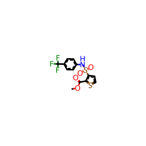 COC(=O)c1sccc1S(=O)(=O)Nc1ccc(C(F)(F)F)cc1